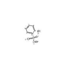 COS(=O)(=O)c1ccccc1.[KH]